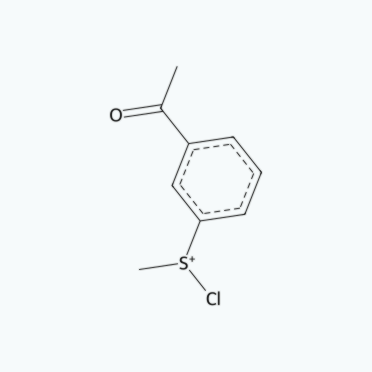 CC(=O)c1cccc([S+](C)Cl)c1